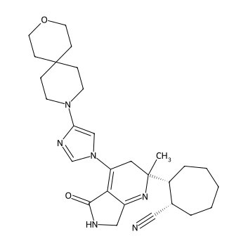 CC1([C@@H]2CCCCC[C@@H]2C#N)CC(n2cnc(N3CCC4(CCOCC4)CC3)c2)=C2C(=O)NCC2=N1